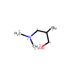 CN(C)CC(CO)C(C)(C)C